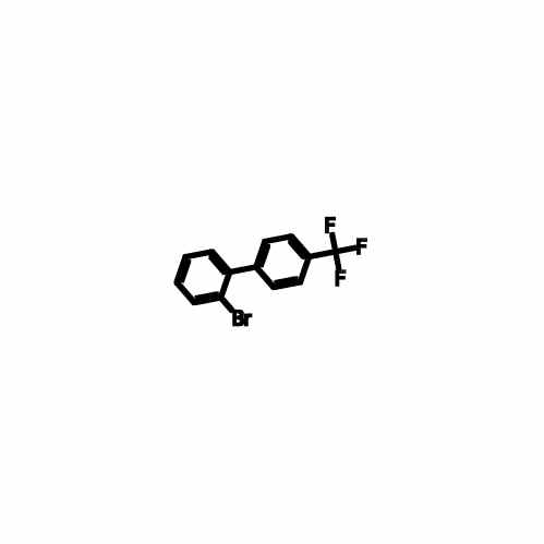 FC(F)(F)c1ccc(-c2ccccc2Br)cc1